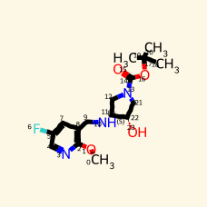 COc1ncc(F)cc1CN[C@@H]1CN(C(=O)OC(C)(C)C)C[C@@H]1O